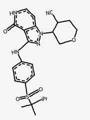 CC(C)C(C)(C)S(=O)(=O)c1ccc(Nc2nn(C3COCCC3C#N)c3cc[nH]c(=O)c23)cc1